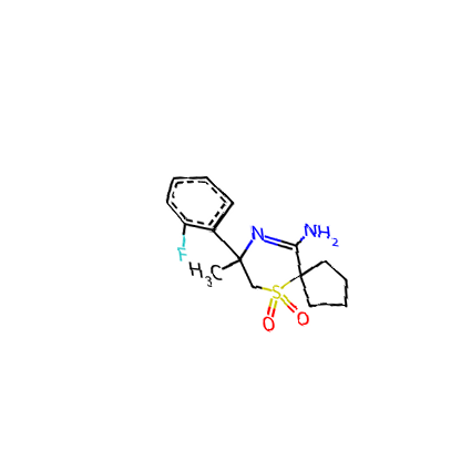 CC1(c2ccccc2F)CS(=O)(=O)C2(CCCC2)C(N)=N1